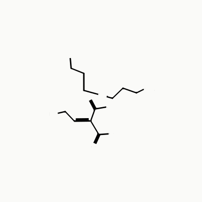 CCC=C(C(=O)[O-])C(=O)[O-].CCC[CH2][Sn+2][CH2]CCC